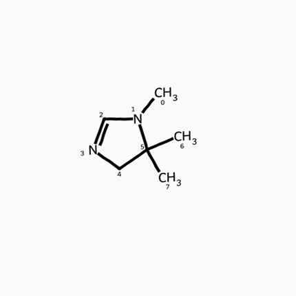 CN1C=NCC1(C)C